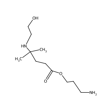 CC(C)(CCC(=O)OCCCN)NCCO